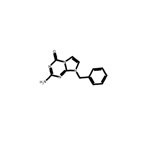 Nc1nc(=O)n2ccn(Cc3ccccc3)c2n1